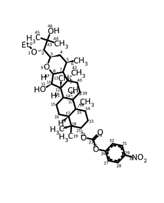 CCO[C@@H]([C@H]1C[C@@H](C)C2[C@H](O1)[C@H](O)[C@@]1(C)[C@@H]3CC[C@H]4C(C)(C)[C@@H](OC(=O)Oc5ccc([N+](=O)[O-])cc5)CC[C@]4(C)[C@]3(C)CC[C@]21C)C(C)(C)O